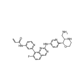 C=CC(=O)Nc1ccnc(-c2c(F)ccc3cnc(Nc4ccc([C@@H]5OCCNC5CN)nc4)nc23)c1